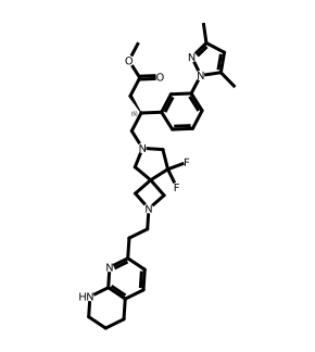 COC(=O)C[C@H](CN1CC(F)(F)C2(C1)CN(CCc1ccc3c(n1)NCCC3)C2)c1cccc(-n2nc(C)cc2C)c1